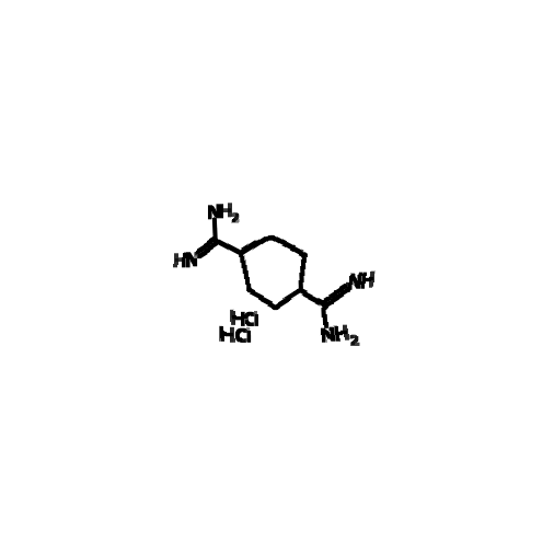 Cl.Cl.N=C(N)C1CCC(C(=N)N)CC1